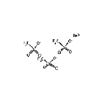 O=S(=O)([O-])C(F)(F)F.O=S(=O)([O-])C(F)(F)F.O=S(=O)([O-])C(F)(F)F.[Re+3]